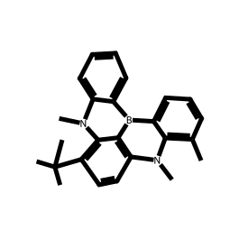 Cc1cccc2c1N(C)c1ccc(C(C)(C)C)c3c1B2c1ccccc1N3C